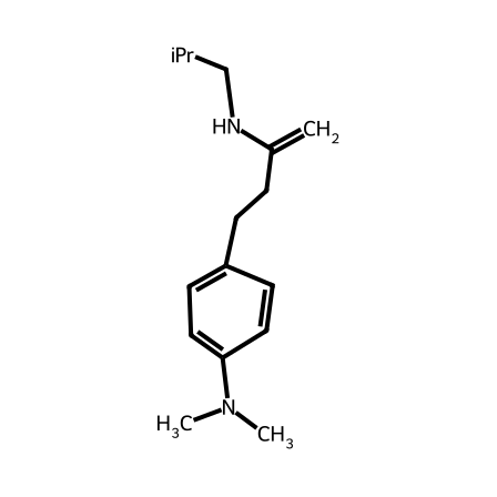 C=C(CCc1ccc(N(C)C)cc1)NCC(C)C